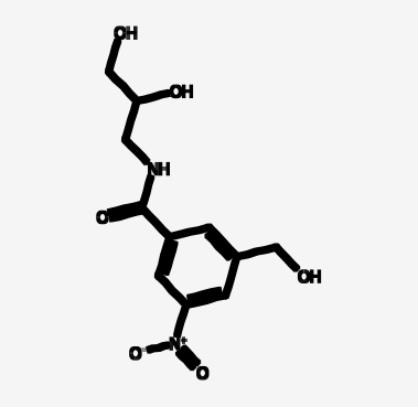 O=C(NCC(O)CO)c1cc(CO)cc([N+](=O)[O-])c1